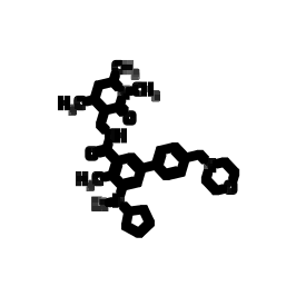 CCN(c1cc(-c2ccc(CN3CCOCC3)cc2)cc(C(=O)NCC2C(=O)N(C)C(C)CC2C)c1C)C1CCCC1